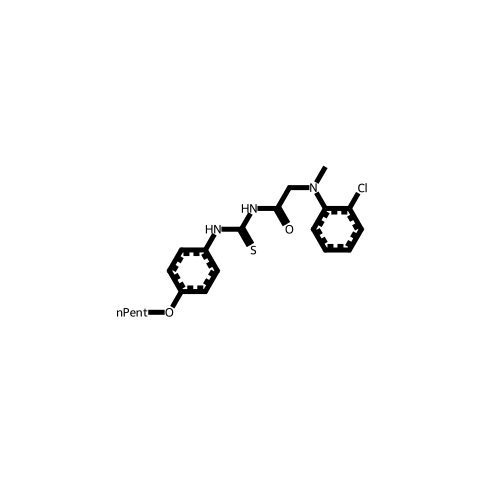 CCCCCOc1ccc(NC(=S)NC(=O)CN(C)c2ccccc2Cl)cc1